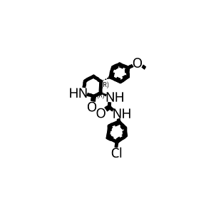 COc1ccc([C@H]2CCNC(=O)[C@@H]2NC(=O)Nc2ccc(Cl)cc2)cc1